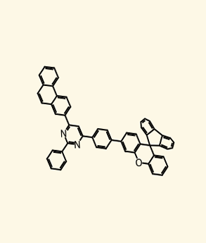 c1ccc(-c2nc(-c3ccc(-c4ccc5c(c4)Oc4ccccc4C54c5ccccc5-c5ccccc54)cc3)cc(-c3ccc4c(ccc5ccccc54)c3)n2)cc1